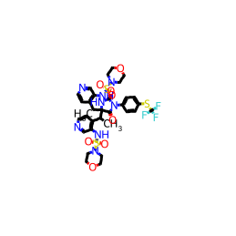 CC(c1ccncc1NS(=O)(=O)N1CCOCC1)C1(C(C)c2ccncc2NS(=O)(=O)N2CCOCC2)NC(=O)N(c2ccc(SC(F)(F)F)cc2)C1=O